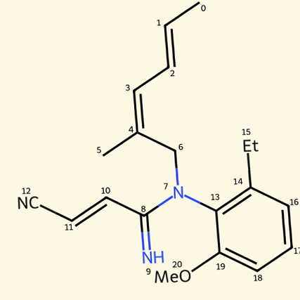 C/C=C/C=C(/C)CN(C(=N)/C=C/C#N)c1c(CC)cccc1OC